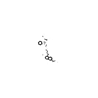 CCOC(=O)[C@@H](C)OP(=O)(CCNC(=O)CCC(=O)c1c(OC)ccc2cc([C@@H](C)C(=O)O)ccc12)Oc1ccccc1